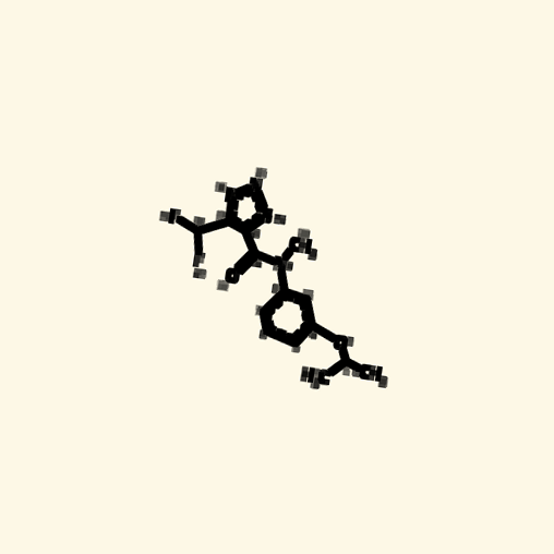 CC(C)Oc1cccc(N(C)C(=O)c2snnc2C(F)F)c1